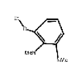 CCOc1[c]ccc(NC)c1NC